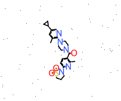 Cc1cc(C2CC2)cnc1N1CCN(C(=O)c2ccc(N3CCCS3(=O)=O)nc2C)CC1